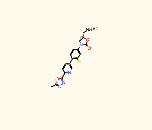 CC(=O)NC[C@H]1CN(c2ccc(-c3ccc(-c4nnc(C)o4)nc3)c(F)c2)C(=O)O1